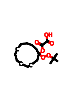 CC(C)(C)OOC1(OC(=O)C(=O)O)CCCCCCCCCCC1